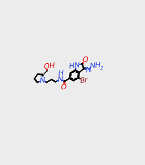 NN=C1C(=O)Nc2cc(C(=O)NCCCN3CCC[C@H]3CO)cc(Br)c21